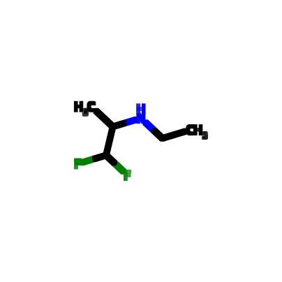 CCNC(C)C(F)F